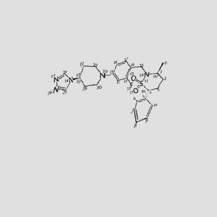 C[C@H]1CC[C@H](c2ccccc2)S(=O)(=O)N1Cc1ccc(N2C[CH][C@H](n3cnnc3)CC2)cc1F